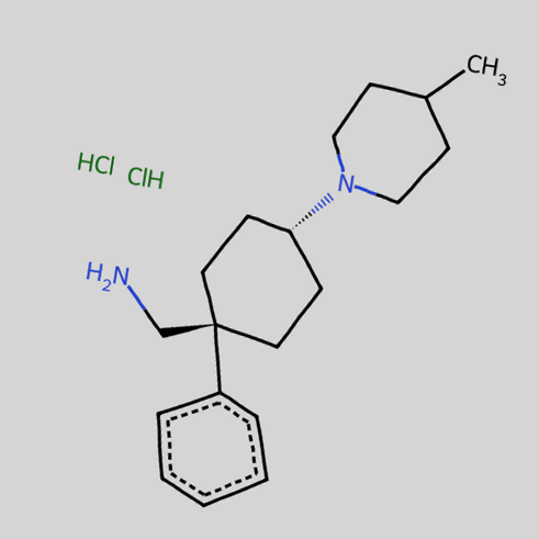 CC1CCN([C@H]2CC[C@@](CN)(c3ccccc3)CC2)CC1.Cl.Cl